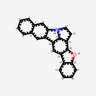 c1ccc2cc3c(cc2c1)c1cc2c4ccccc4oc2c2ccn3c12